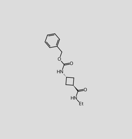 CCNC(=O)[C@H]1C[C@H](NC(=O)OCc2ccccc2)C1